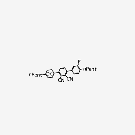 CCCCCc1ccc(-c2ccc(C34CCC(CCCCC)(CC3)CC4)c(C#N)c2C#N)cc1F